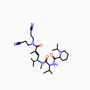 C/C(=C\[C@H](C(C)C)N(C)C(=O)[C@@H](NC(=O)C1CCCCN1C(C)C)C(C)C)C(=O)N(CCC#N)CCC#N